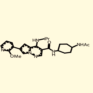 COc1ncccc1-c1cc2c(NC(C)C)c(C(=O)NC3CCC(NC(C)=O)CC3)cnn2c1